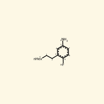 CCCCCCCCc1cc(N)ccc1F